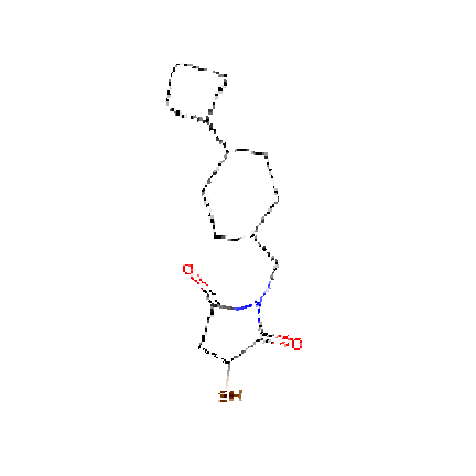 O=C1CC(S)C(=O)N1CC1CCC(C2CCC2)CC1